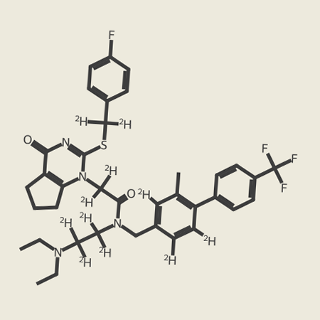 [2H]c1c([2H])c(-c2ccc(C(F)(F)F)cc2)c(C)c([2H])c1CN(C(=O)C([2H])([2H])n1c(SC([2H])([2H])c2ccc(F)cc2)nc(=O)c2c1CCC2)C([2H])([2H])C([2H])([2H])N(CC)CC